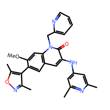 COc1cc2c(cc1-c1c(C)noc1C)cc(Nc1cc(C)nc(C)c1)c(=O)n2Cc1ccccn1